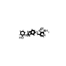 Nc1nccc(COc2ccc3nc(N[C@H]4CCCC[C@@H]4O)sc3c2)c1OC(F)(F)F